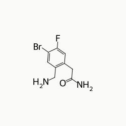 NCc1cc(Br)c(F)cc1CC(N)=O